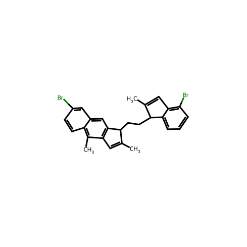 CC1=Cc2c(Br)cccc2C1CCC1C(C)=Cc2c1cc1cc(Br)ccc1c2C